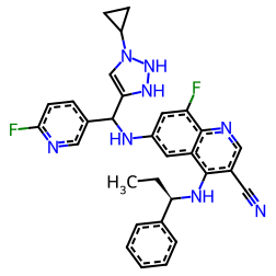 CC[C@@H](Nc1c(C#N)cnc2c(F)cc(NC(C3=CN(C4CC4)NN3)c3ccc(F)nc3)cc12)c1ccccc1